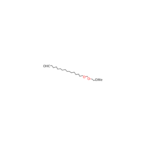 COCCOCOCCCCCCCCCCCCCCCC=O